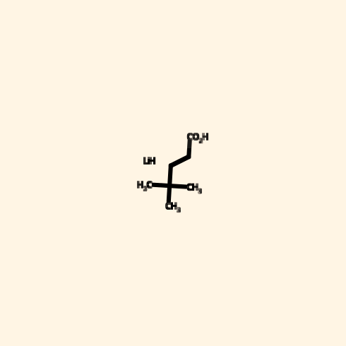 CC(C)(C)CCC(=O)O.[LiH]